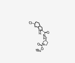 CC(C)(C)OC(=O)N1CCC(CNC(=O)c2cc3ccc(Cl)cc3[nH]2)C1